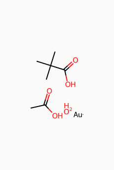 CC(=O)O.CC(C)(C)C(=O)O.O.[Au]